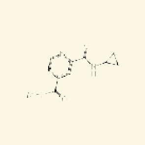 COC(=O)c1ccnc(C(=O)NC2CC2)c1